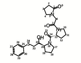 O=C1CCCN1CC(=O)N1CCC[C@@H]1C(=O)N1CCC[C@H]1C(O)CSc1ccccc1